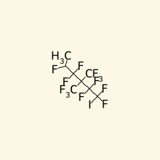 CC(F)C(F)(F)C(C(F)(F)F)(C(F)(F)F)C(F)(F)C(F)(F)I